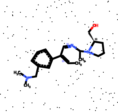 C/C=C(\C=N/C(C)N1CCC[C@H]1CO)c1cccc(CN(C)C)c1